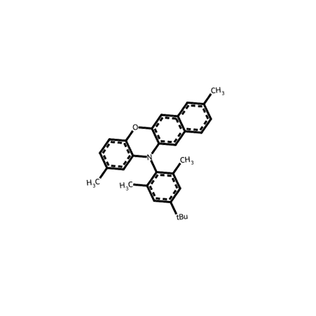 Cc1ccc2c(c1)N(c1c(C)cc(C(C)(C)C)cc1C)c1cc3ccc(C)cc3cc1O2